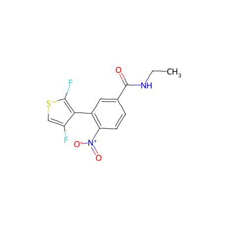 CCNC(=O)c1ccc([N+](=O)[O-])c(-c2c(F)csc2F)c1